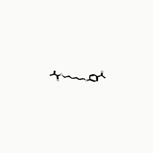 C=C(C)C(=O)OCCCCCCOc1ccc(C(C)=O)cc1